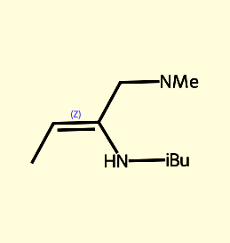 C/C=C(/CNC)NC(C)CC